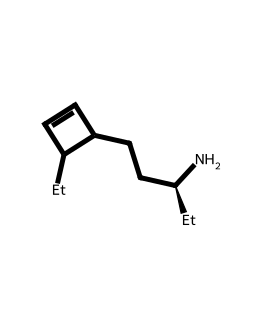 CCC1C=CC1CC[C@@H](N)CC